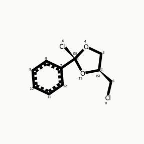 ClC[C@@H]1CO[C@@](Cl)(c2ccccc2)O1